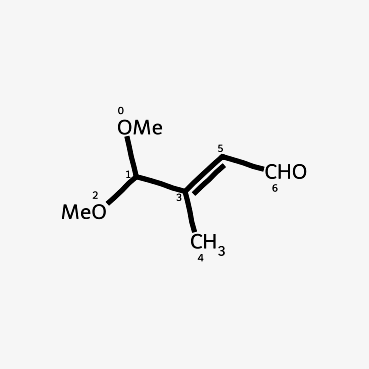 COC(OC)C(C)=CC=O